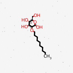 CCCCCCCCCCO[C@H]1[C@@H](O)[C@H](O)[C@@H](CO)O[C@H]1O